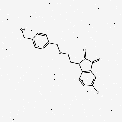 O=C1C(=O)N(CCOCc2ccc(CO)cc2)c2ccc(Cl)cc21